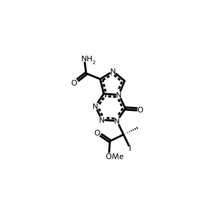 COC(=O)[C@](C)(I)n1nnc2c(C(N)=O)ncn2c1=O